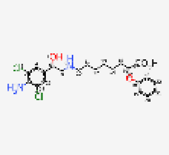 Nc1c(Cl)cc(C(O)CNCCCCCCC(Oc2ccccc2)C(=O)O)cc1Cl